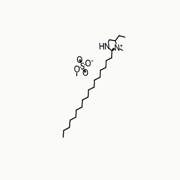 CCCCCCCCCCCCCCCCCC1=[N+](C)C(CC)CN1.COS(=O)(=O)[O-]